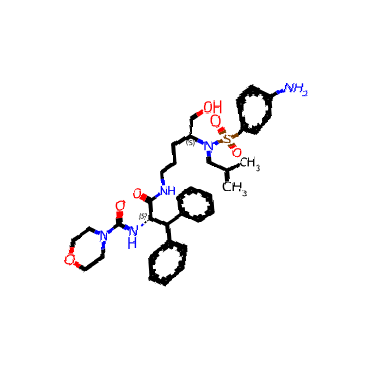 CC(C)CN([C@H](CO)CCCNC(=O)[C@@H](NC(=O)N1CCOCC1)C(c1ccccc1)c1ccccc1)S(=O)(=O)c1ccc(N)cc1